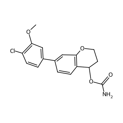 COc1cc(-c2ccc3c(c2)OCCC3OC(N)=O)ccc1Cl